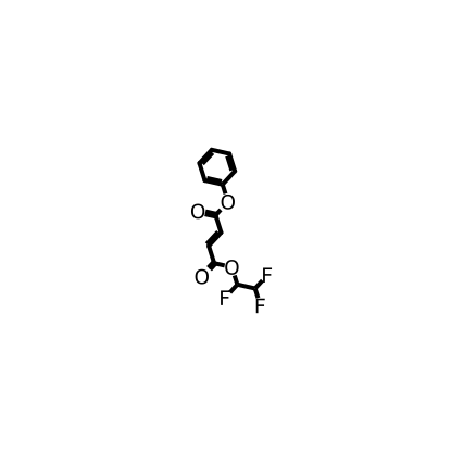 O=C(C=CC(=O)OC(F)C(F)F)Oc1ccccc1